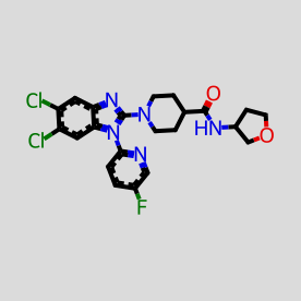 O=C(NC1CCOC1)C1CCN(c2nc3cc(Cl)c(Cl)cc3n2-c2ccc(F)cn2)CC1